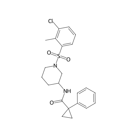 Cc1c(Cl)cccc1S(=O)(=O)N1CCCC(NC(=O)C2(c3ccccc3)CC2)C1